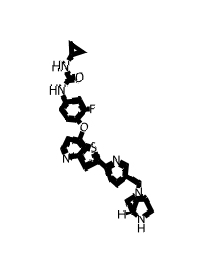 O=C(Nc1ccc(Oc2ccnc3cc(-c4ccc(CN5C[C@@H]6CC5CN6)cn4)sc23)c(F)c1)NC1CC1